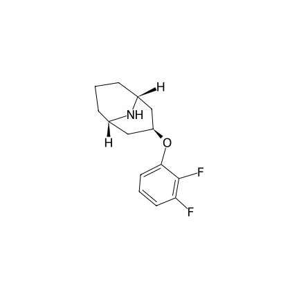 Fc1cccc(O[C@@H]2C[C@H]3CCC[C@@H](C2)N3)c1F